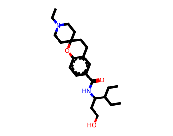 CCC(CC)C(CCO)NC(=O)c1ccc2c(c1)CCC1(CCN(CC)CC1)O2